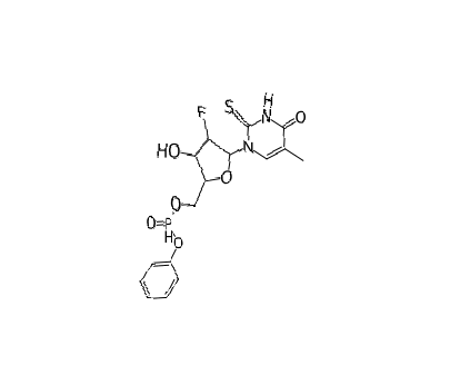 Cc1cn(C2OC(CO[PH](=O)Oc3ccccc3)C(O)C2F)c(=S)[nH]c1=O